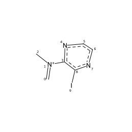 C=[N+](C)c1nccnc1I